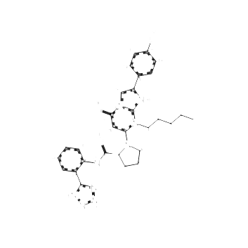 CCCCCn1c(N2CCC[C@H]2C(=O)Nc2ccccc2-c2nn[nH]n2)cc(=O)n2cc(-c3ccc(Cl)cc3)nc12